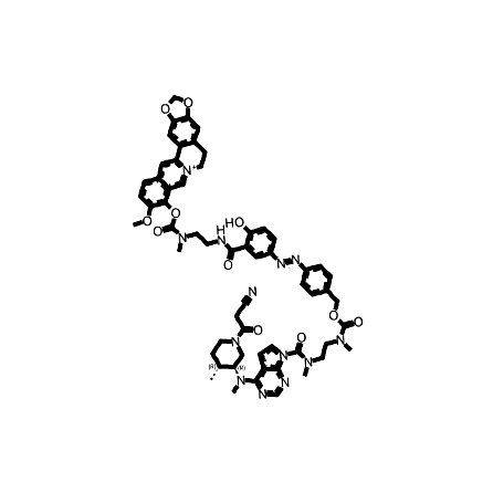 COc1ccc2cc3[n+](cc2c1OC(=O)N(C)CCNC(=O)c1cc(/N=N/c2ccc(COC(=O)N(C)CCN(C)C(=O)n4ccc5c(N(C)[C@H]6CN(C(=O)CC#N)CC[C@H]6C)ncnc54)cc2)ccc1O)CCc1cc2c(cc1-3)OCO2